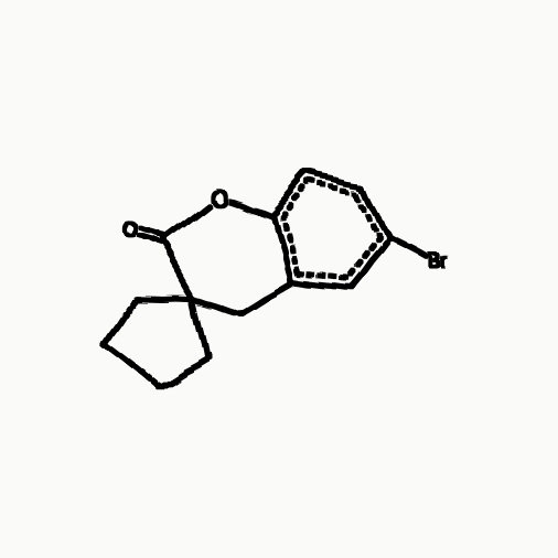 O=C1Oc2ccc(Br)cc2CC12CCCC2